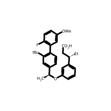 CC[C@@H](CC(=O)O)c1cccc(O[C@@H](C)c2ccc(-c3cc(OC)ccc3F)c(C(C)(C)C)c2)c1